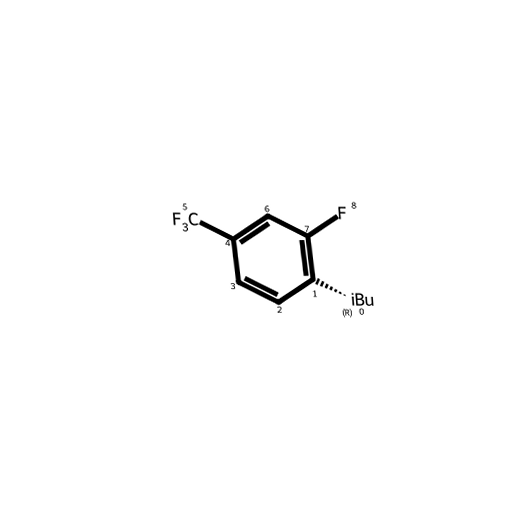 CC[C@@H](C)c1ccc(C(F)(F)F)cc1F